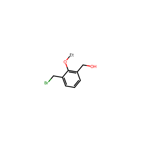 CCOc1c(CO)cccc1CBr